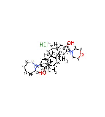 C[C@]12C[C@H](N3CCOCC3)[C@@H](O)C[C@@H]1CC[C@@H]1[C@@H]2CC[C@]2(C)[C@@H](O)[C@@H](N3CCCCCC3)C[C@@H]12.Cl